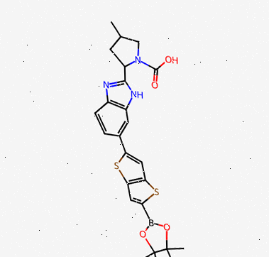 CC1CC(c2nc3ccc(-c4cc5sc(B6OC(C)(C)C(C)(C)O6)cc5s4)cc3[nH]2)N(C(=O)O)C1